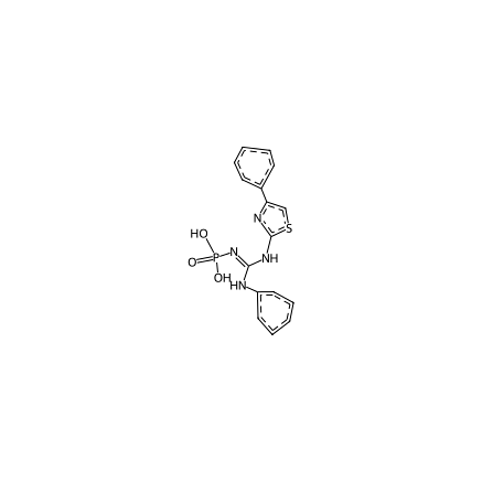 O=P(O)(O)/N=C(\Nc1ccccc1)Nc1nc(-c2ccccc2)cs1